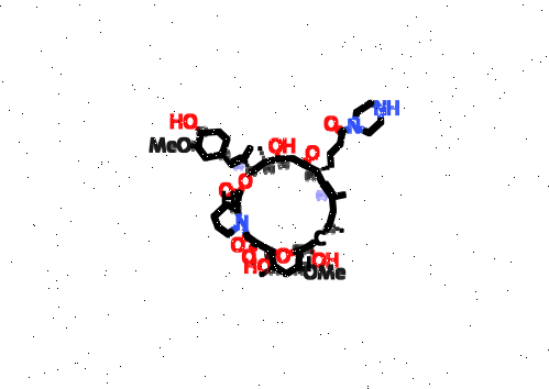 CO[C@H]1C[C@@H](C)[C@@]2(O)O[C@@H]1[C@@H](O)C[C@@H](C)C/C(C)=C/[C@@H](CCCC(=O)N1CCNCC1)C(=O)C[C@H](O)[C@@H](C)[C@@H](/C(C)=C/[C@@H]1CC[C@@H](O)[C@H](OC)C1)OC(=O)[C@@H]1CCCCN1C(=O)C2=O